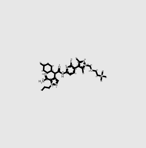 CCCn1ncc(C(C(=O)Nc2ccc(-c3c(C)nn(COCC[Si](C)(C)C)c3C)c(F)n2)C2CCC(C)CC2)c1C(N)=O